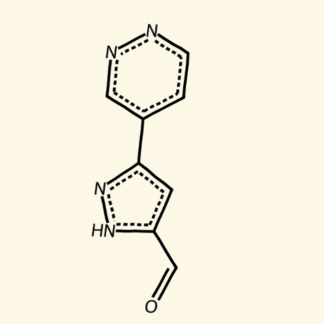 O=Cc1cc(-c2ccnnc2)n[nH]1